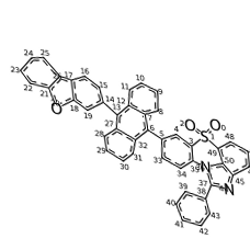 O=S1(=O)c2cc(-c3c4ccccc4c(-c4ccc5c(c4)oc4ccccc45)c4ccccc34)ccc2-n2c(-c3ccccc3)nc3cccc1c32